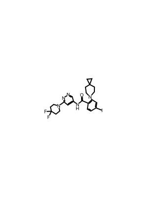 O=C(Nc1cnnc(N2CCC(F)(F)CC2)c1)c1ccc(I)cc1N1CCC2(CC1)CC2